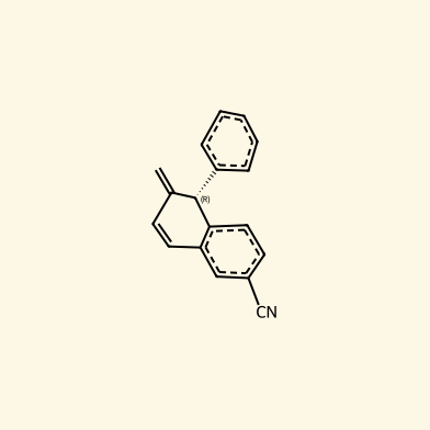 C=C1C=Cc2cc(C#N)ccc2[C@H]1c1ccccc1